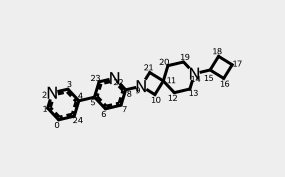 c1cncc(-c2ccc(N3CC4(CCN(C5CCC5)CC4)C3)nc2)c1